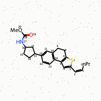 CCC/C=C\c1cc2c(s1)CCc1cc(C3CCC(NC(=O)OC)C3)ccc1-2